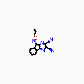 C=CCON=C1c2ccccc2-c2nc(C#N)c(C#N)nc21